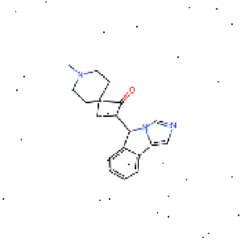 CN1CCC2(CC1)CC(C1c3ccccc3-c3cncn31)C2=O